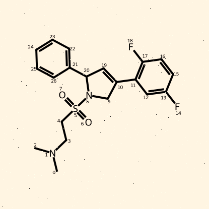 CN(C)CCS(=O)(=O)N1CC(c2cc(F)ccc2F)=CC1c1ccccc1